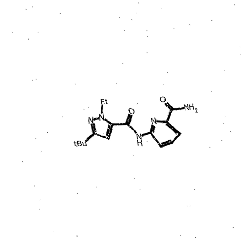 CCn1nc(C(C)(C)C)cc1C(=O)Nc1cccc(C(N)=O)n1